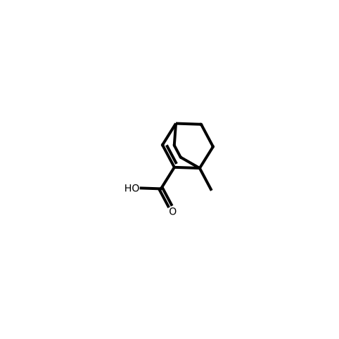 CC12CCC(C=C1C(=O)O)CC2